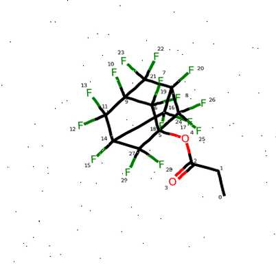 CCC(=O)OC12C(F)(F)C3(F)C(F)(F)C(F)(C(F)(F)C(F)(C3(F)F)C1(F)F)C2(F)F